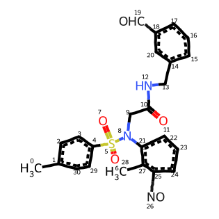 Cc1ccc(S(=O)(=O)N(CC(=O)NCc2cccc(C=O)c2)c2cccc(N=O)c2C)cc1